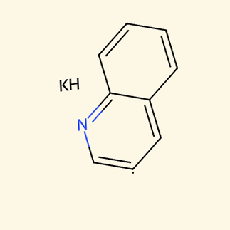 [KH].[c]1cnc2ccccc2c1